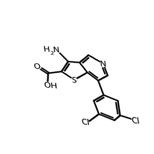 Nc1c(C(=O)O)sc2c(-c3cc(Cl)cc(Cl)c3)cncc12